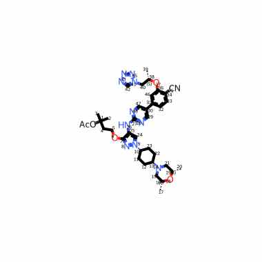 CC(=O)OC(C)(C)CCOc1nn([C@H]2CC[C@H](N3C[C@@H](C)O[C@@H](C)C3)CC2)cc1Nc1ncc(-c2ccc(C#N)c(O[C@@H](C)Cn3cnnn3)c2)cn1